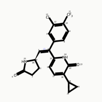 O=C1CC[C@H](/C=C(/c2ccc(C(F)(F)F)c(Cl)c2)c2ccc(C3CC3)c(=O)[nH]2)N1